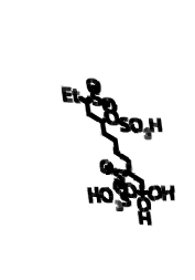 CCC(CC(CCCCC(CC(O)(O)OS(=O)(=O)O)=S(=O)=O)OS(=O)(=O)O)=S(=O)=O